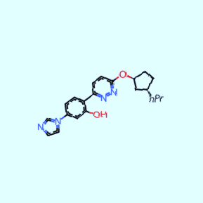 CCC[C@@H]1CC[C@H](Oc2ccc(-c3ccc(-n4ccnc4)cc3O)nn2)C1